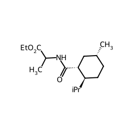 CCOC(=O)C(C)NC(=O)[C@@H]1C[C@H](C)CC[C@H]1C(C)C